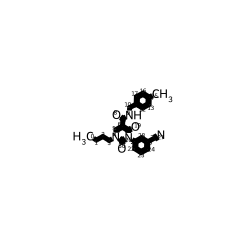 CCCCn1cc(C(=O)NCc2ccc(C)cc2)c(=O)n(-c2cccc(C#N)c2)c1=O